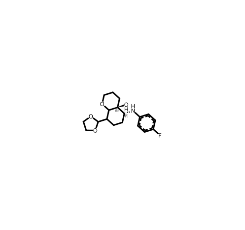 O[C@]12CCCOC1C(C1OCCO1)CC[C@H]2Nc1ccc(F)cc1